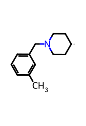 Cc1cccc(CN2CC[CH]CC2)c1